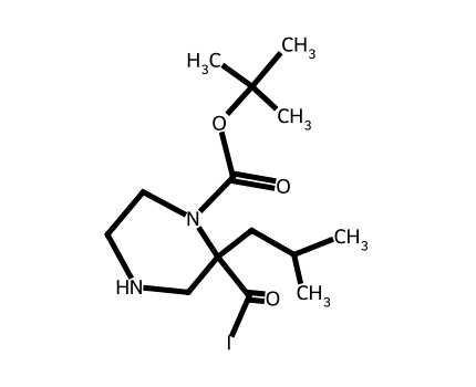 CC(C)CC1(C(=O)I)CNCCN1C(=O)OC(C)(C)C